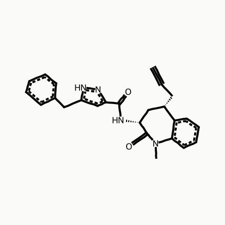 C#CC[C@H]1C[C@@H](NC(=O)c2cc(Cc3ccccc3)[nH]n2)C(=O)N(C)c2ccccc21